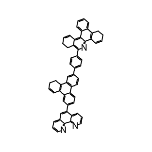 C1=Cc2c(c(-c3ccc(-c4ccc5c(c4)c4c(c6cc(-c7cc8cccnc8c8ncccc78)ccc65)C=CCC4)cc3)nc3c4c(c5ccccc5c23)CCC=C4)CC1